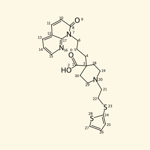 O=C(O)C1(CCCn2c(=O)ccc3cccnc32)CCN(CCSc2cccs2)CC1